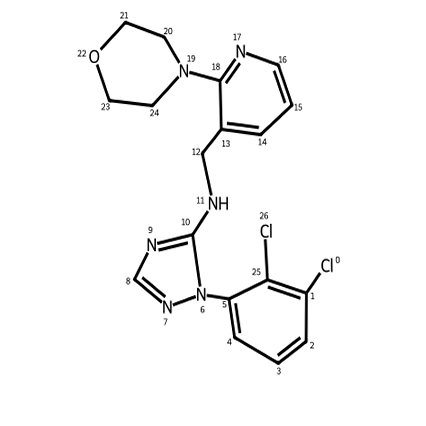 Clc1cccc(-n2ncnc2NCc2cccnc2N2CCOCC2)c1Cl